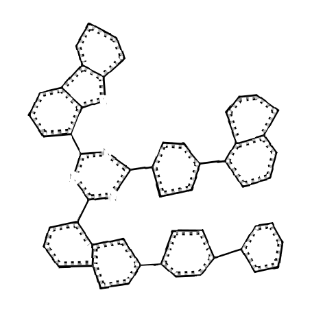 c1ccc(-c2ccc(-c3ccc4cccc(-c5nc(-c6ccc(-c7cccc8ccccc78)cc6)nc(-c6cccc7c6sc6ccccc67)n5)c4c3)cc2)cc1